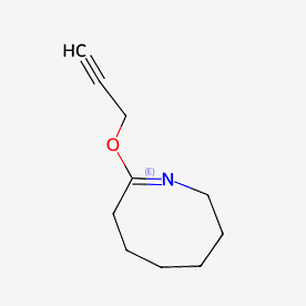 C#CCO/C1=N/CCCCCC1